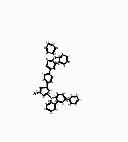 Brc1cc(-c2ccc(-c3ccc4c(c3)c3ccccc3n4-c3ccccc3)cc2)cc(-n2c3ccccc3c3cc(-c4ccccc4)ccc32)c1